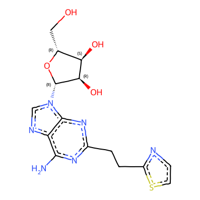 Nc1nc(CCc2nccs2)nc2c1ncn2[C@@H]1O[C@H](CO)[C@@H](O)[C@H]1O